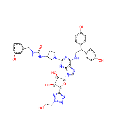 O=C(NCc1cccc(O)c1)NC1CCN(c2nc(NCC(c3ccc(O)cc3)c3ccc(O)cc3)c3ncn([C@@H]4O[C@H](c5nnn(CCO)n5)[C@@H](O)[C@H]4O)c3n2)C1